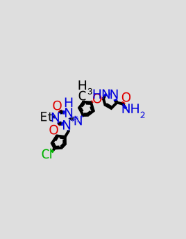 CCn1c(=O)[nH]/c(=N\c2ccc(OC3C=CC(C(N)=O)=NN3)c(C)c2)n(Cc2ccc(Cl)cc2)c1=O